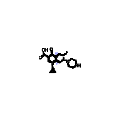 C=C(/C=c1\c(=C/CF)c(=O)c(C(=O)O)cn1C1CC1)N1CCNCC1